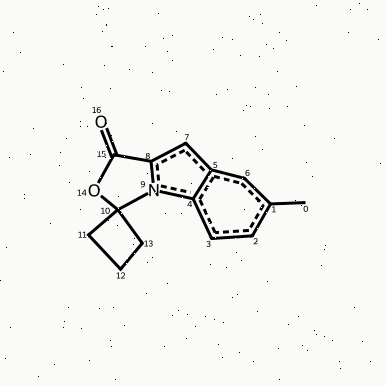 Cc1ccc2c(c1)cc1n2C2(CCC2)OC1=O